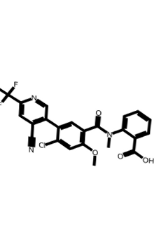 COc1cc(Cl)c(-c2cnc(C(F)(F)F)cc2C#N)cc1C(=O)N(C)c1ccccc1C(=O)O